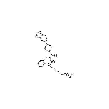 CCCN(Cc1ccccc1OCCCCCC(=O)O)C(=O)c1ccc(-c2ccc3c(c2)OCO3)cc1